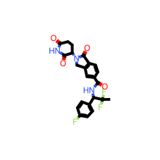 CC(F)(F)C(NC(=O)c1ccc2c(c1)CN(C1CCC(=O)NC1=O)C2=O)c1ccc(F)cc1